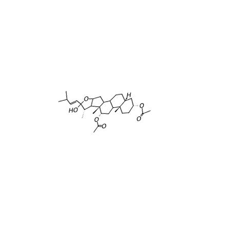 CC(=O)O[C@@H]1CC[C@]2(C)C3C[C@H](OC(C)=O)[C@@]4(C)C(CC5OC(O)(/C=C/C(C)C)[C@@H](C)C54)C3CC[C@@H]2C1